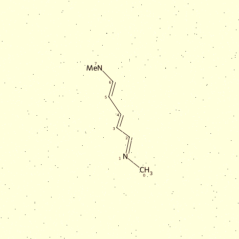 C/N=C/C=C/C=C/NC